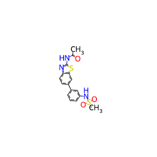 CC(=O)Nc1nc2ccc(-c3cccc(NS(C)(=O)=O)c3)cc2s1